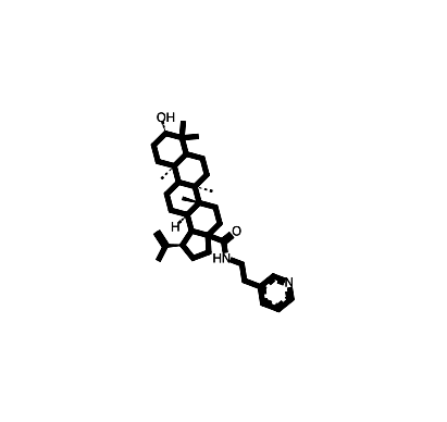 C=C(C)[C@@H]1CCC2(C(=O)NCCc3cccnc3)CC[C@]3(C)[C@H](CCC4[C@@]5(C)CC[C@H](O)C(C)(C)C5CC[C@]43C)C12